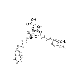 Cc1ccc(C=CCCCOC(C(=O)NCCCCCc2ccc3ccccc3c2)C(OCC(=O)O)C(=O)O)cc1C